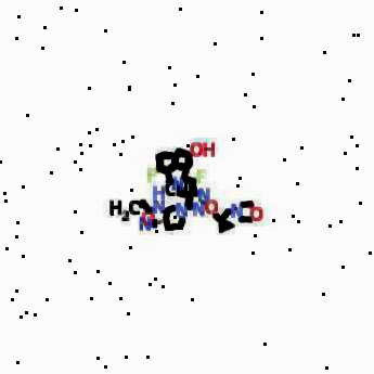 C#Cc1c(F)ccc2cc(O)cc(-c3ncc4c(N5CCC[C@H](C#N)[C@H](NC(=O)C=C)C5)nc(OCC5(CN6CCOCC6)CC5)nc4c3F)c12